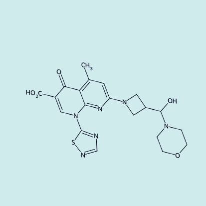 Cc1cc(N2CC(C(O)N3CCOCC3)C2)nc2c1c(=O)c(C(=O)O)cn2-c1ncns1